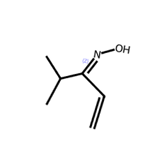 C=C/C(=N\O)C(C)C